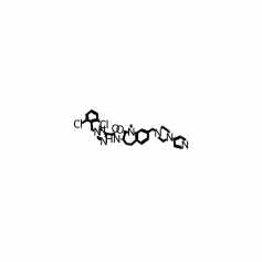 CN1C(=O)[C@@H](NC(=O)c2ncn(Cc3c(Cl)cccc3Cl)n2)CCc2ccc(CN3CCN(c4ccncc4)CC3)cc21